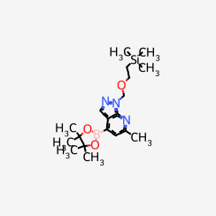 Cc1cc(B2OC(C)(C)C(C)(C)O2)c2cnn(COCC[Si](C)(C)C)c2n1